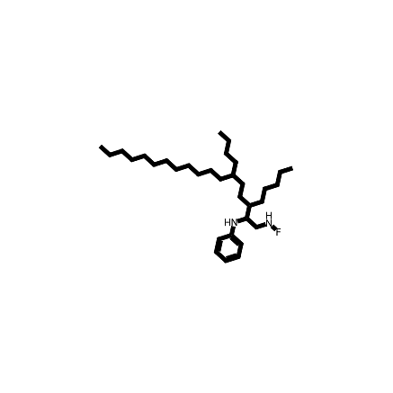 CCCCCCCCCCCCC(CCCC)CCC(CCCCC)C(CNF)Nc1ccccc1